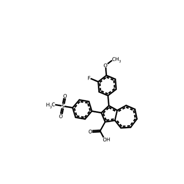 COc1ccc(-c2c3cccccc-3c(C(=O)O)c2-c2ccc(S(C)(=O)=O)cc2)cc1F